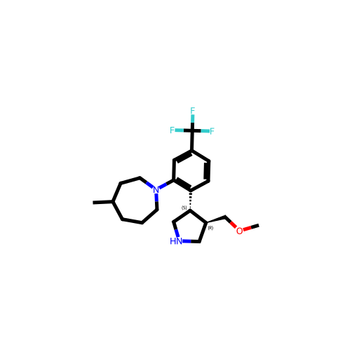 COC[C@H]1CNC[C@@H]1c1ccc(C(F)(F)F)cc1N1CCCC(C)CC1